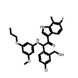 CCCOc1cc(NC(C(=O)c2c[nH]c3c(C)c(F)ccc23)c2ccc(Cl)cc2CO)cc(OC)c1